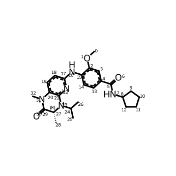 COc1cc(C(=O)NC2CCCC2)ccc1Nc1ccc2c(n1)N(C(C)C)[C@H](C)C(=O)N2C